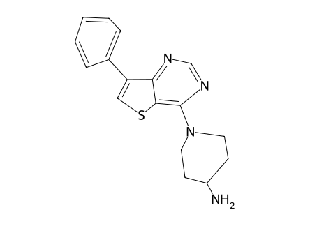 NC1CCN(c2ncnc3c(-c4ccccc4)csc23)CC1